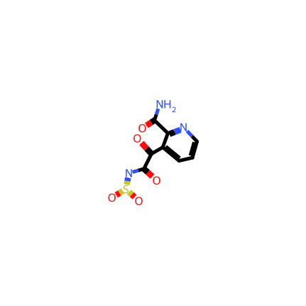 NC(=O)c1ncccc1C(=O)C(=O)N=S(=O)=O